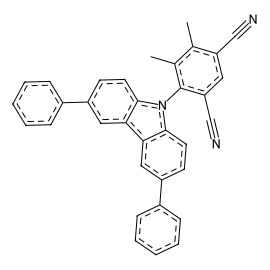 Cc1c(C#N)cc(C#N)c(-n2c3ccc(-c4ccccc4)cc3c3cc(-c4ccccc4)ccc32)c1C